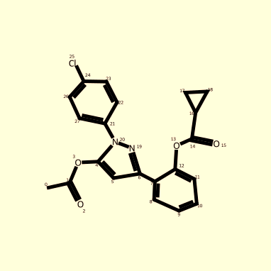 CC(=O)Oc1cc(-c2ccccc2OC(=O)C2CC2)nn1-c1ccc(Cl)cc1